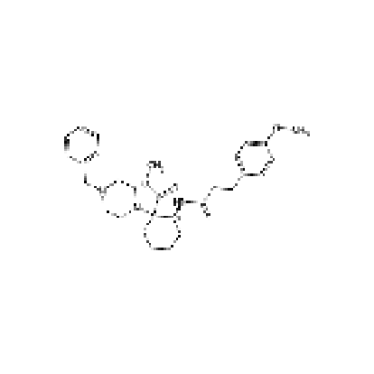 COC(=O)C1(N2CCN(Cc3ccccc3)CC2)CCCC[C@@H]1NC(=O)CCc1ccc(OC)cc1